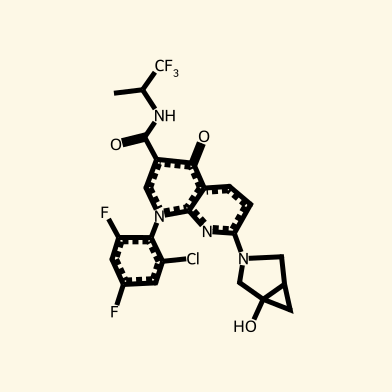 CC(NC(=O)c1cn(-c2c(F)cc(F)cc2Cl)c2nc(N3CC4CC4(O)C3)ccc2c1=O)C(F)(F)F